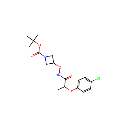 CC(Oc1ccc(Cl)cc1)C(=O)NOC1CN(C(=O)OC(C)(C)C)C1